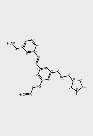 C=CCOc1cc(/C=C/c2cncc(CN)c2)cc(CNCC2CCNC2)c1